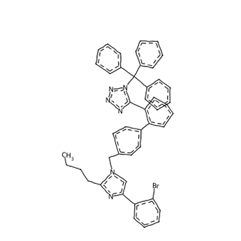 CCCCc1nc(-c2ccccc2Br)cn1Cc1ccc(-c2ccccc2-c2nnnn2C(c2ccccc2)(c2ccccc2)c2ccccc2)cc1